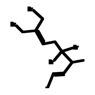 [CH2]C=CC(C)C(Br)(Br)CC=C(CBr)CBr